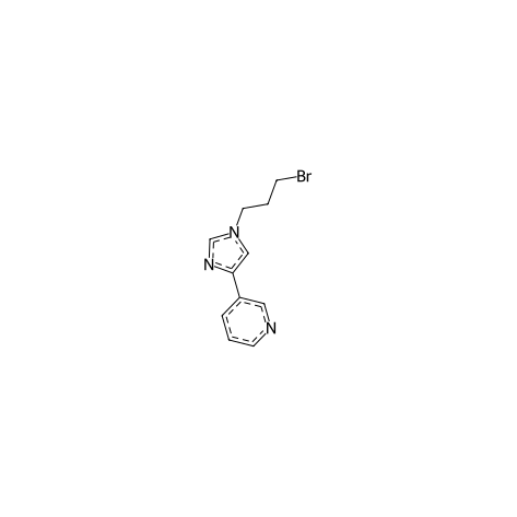 BrCCCn1cnc(-c2cccnc2)c1